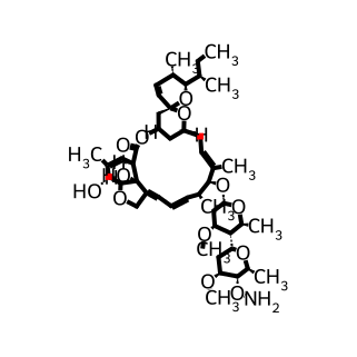 CC[C@@H](C)[C@H]1O[C@]2(C=C[C@@H]1C)C[C@@H]1C[C@@H](C/C=C(\C)[C@@H](O[C@H]3C[C@H](OC)[C@@H](C4C[C@H](OC)[C@@H](ON)[C@H](C)O4)[C@H](C)O3)[C@@H](C)/C=C/C=C3\CO[C@@H]4[C@H](O)C(C)=C[C@@H](C(=O)O1)[C@]34O)O2